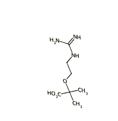 CC(C)(OCCNC(=N)N)C(=O)O